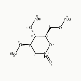 CCCCOC[C@H]1O[PH](=O)C[C@@H](OCCCC)[C@@H]1OCCCC